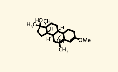 COC1=CC2=C(C)C[C@@H]3[C@H](CC[C@@]4(C)[C@H]3CC[C@]4(C)O)[C@@]2(CO)CC1